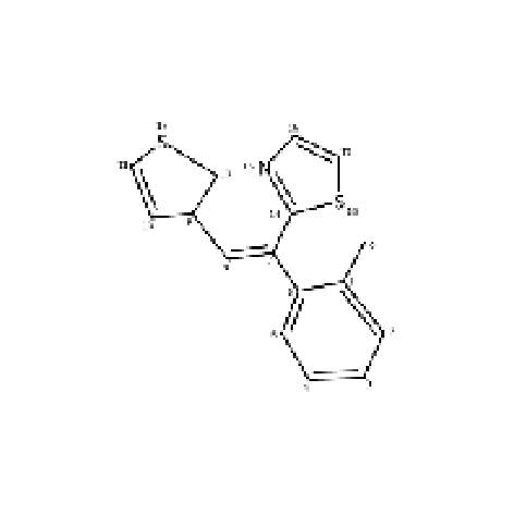 Cc1ccccc1C(=CC1C=CSC1)c1nccs1